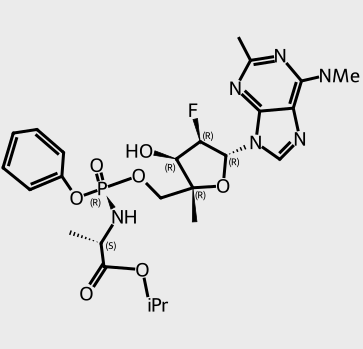 CNc1nc(C)nc2c1ncn2[C@@H]1O[C@](C)(CO[P@](=O)(N[C@@H](C)C(=O)OC(C)C)Oc2ccccc2)[C@@H](O)[C@H]1F